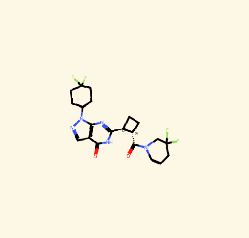 O=C([C@H]1CC[C@@H]1c1nc2c(cnn2C2CCC(F)(F)CC2)c(=O)[nH]1)N1CCCC(F)(F)C1